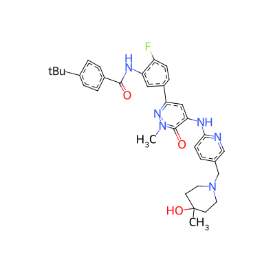 Cn1nc(-c2ccc(F)c(NC(=O)c3ccc(C(C)(C)C)cc3)c2)cc(Nc2ccc(CN3CCC(C)(O)CC3)cn2)c1=O